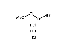 C[O][Ti][O]C(C)C.Cl.Cl.Cl